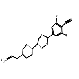 C=CC[C@H]1CC[C@H]([C@H]2CO[C@H](c3cc(F)c(C#N)c(F)c3)OC2)CC1